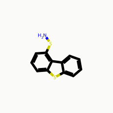 NSc1cccc2sc3ccccc3c12